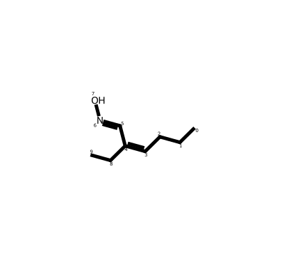 CCCC=C(C=NO)CC